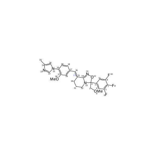 COCC1(c2cc(F)c(F)c(F)c2)ON=C2/C(=C/c3ccc(-n4cnc(C)c4)c(OC)c3)CCCN21